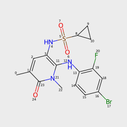 Cc1cc(NS(=O)(=O)C2CC2)c(Nc2ccc(Br)cc2F)n(C)c1=O